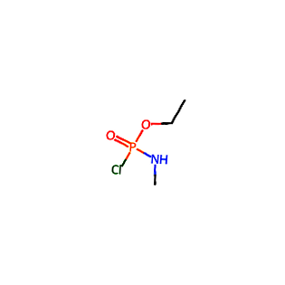 CCOP(=O)(Cl)NC